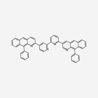 c1ccc(-c2c3ccccc3cc3cc(-c4cccc(-c5cc(-c6ccc7cc8ccccc8c(-c8ccccc8)c7n6)ccn5)n4)cnc23)cc1